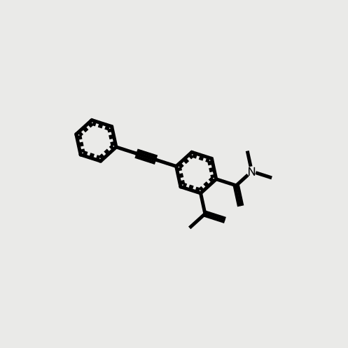 C=C(C)c1cc(C#Cc2ccccc2)ccc1C(=C)N(C)C